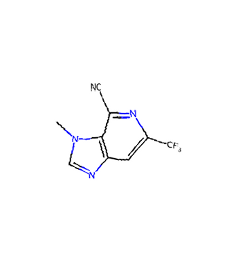 Cn1cnc2cc(C(F)(F)F)nc(C#N)c21